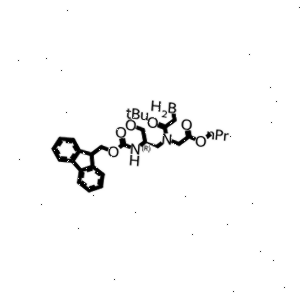 BCC(=O)N(CC(=O)OCCC)C[C@H](COC(C)(C)C)NC(=O)OCC1c2ccccc2-c2ccccc21